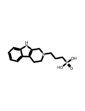 O=P(O)(O)CCCN1CCc2c([nH]c3ccccc23)C1